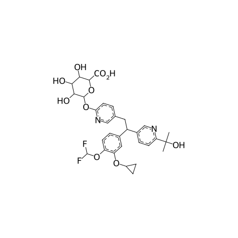 CC(C)(O)c1ccc(C(Cc2ccc(OC3OC(C(=O)O)C(O)C(O)C3O)nc2)c2ccc(OC(F)F)c(OC3CC3)c2)cn1